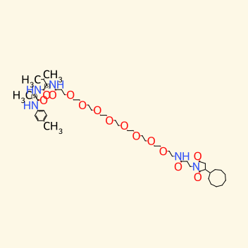 Cc1ccc(NC(=O)[C@H](C)NC(=O)[C@@H](NC(=O)CCOCCOCCOCCOCCOCCOCCOCCOCCNC(=O)CCN2C(=O)CC(C3CCCCCCCC3)C2=O)C(C)C)cc1